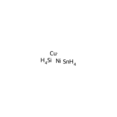 [Cu].[Ni].[SiH4].[SnH4]